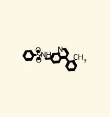 Cc1ccccc1-c1ccnc2cc(CNS(=O)(=O)c3ccccc3)ccc12